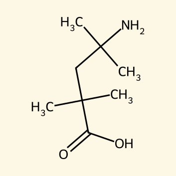 CC(C)(N)CC(C)(C)C(=O)O